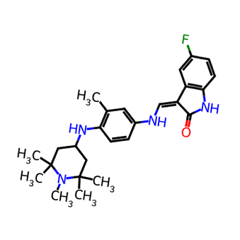 Cc1cc(NC=C2C(=O)Nc3ccc(F)cc32)ccc1NC1CC(C)(C)N(C)C(C)(C)C1